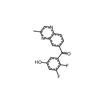 Cc1cnc2ccc(C(=O)c3cc(O)cc(F)c3F)cc2n1